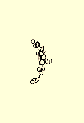 C[C@]12CC[C@H](OC(=O)OCCN3CCOCC3)C[C@@]1(O)CC[C@@H]1[C@@H]2CC[C@]2(C)[C@@H](c3ccc(=O)oc3)CC[C@]12O